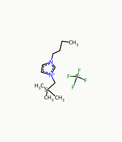 CCCCn1cc[n+](C[Si](C)(C)C)c1.F[B-](F)(F)F